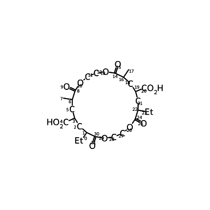 CCC1CC(C(=O)O)CC(C)C(=O)OCCOC(=O)C(C)CC(C(=O)O)CC(CC)C(=O)OCCOC1=O